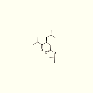 CC(C)C[C@@H](CC(=O)OC(C)(C)C)C(=O)C(C)C